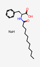 CCCCCCCCCCC(=O)N[C@@H](Cc1ccccc1)C(=O)O.[NaH]